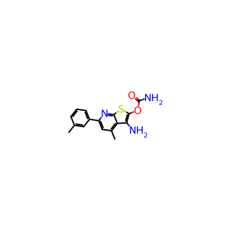 Cc1cccc(-c2cc(C)c3c(N)c(OC(N)=O)sc3n2)c1